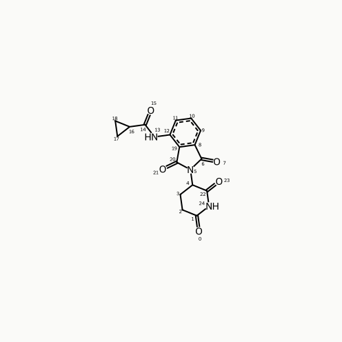 O=C1CCC(N2C(=O)c3cccc(NC(=O)C4CC4)c3C2=O)C(=O)N1